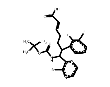 CC(C)(C)OC(=O)NC(c1nccnc1Br)C(CCC=CC(=O)O)c1cccc(F)c1F